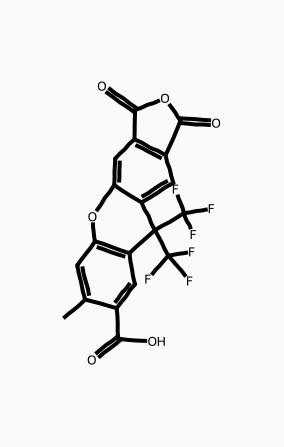 Cc1cc2c(cc1C(=O)O)C(C(F)(F)F)(C(F)(F)F)c1cc3c(cc1O2)C(=O)OC3=O